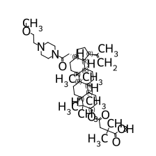 C=C(C)[C@@H]1CC[C@]2(CC(=O)N3CCN(CCOC)CC3)CC[C@]3(C)[C@H](CC[C@@H]4[C@@]5(C)CC[C@H](OC(=O)CC(C)(C)C(=O)O)C(C)(C)[C@@H]5CC[C@]43C)[C@@H]12